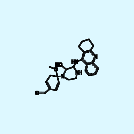 COC1(N2CCNC(Nc3c4c(nc5ccccc35)CCCC4)C2O)C=CC(C=O)=CC1